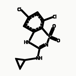 O=S1(=O)N=C(NC2CC2)Nc2cc(Cl)cc(Cl)c21